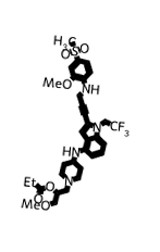 CCC(=O)OC(COC)CN1CCC(Nc2cccc3c2cc(C#CCNc2ccc(S(C)(=O)=O)cc2OC)n3CC(F)(F)F)CC1